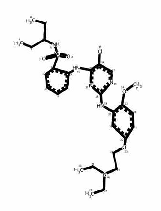 CCC(CC)NS(=O)(=O)c1ccccc1Nc1nc(Nc2cc(OCCN(CC)CC)ccc2OC)ncc1Cl